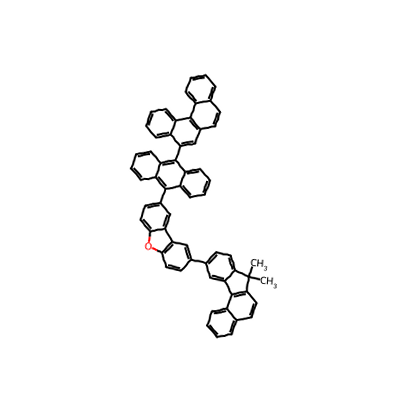 CC1(C)c2ccc(-c3ccc4oc5ccc(-c6c7ccccc7c(-c7cc8ccc9ccccc9c8c8ccccc78)c7ccccc67)cc5c4c3)cc2-c2c1ccc1ccccc21